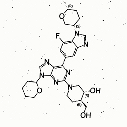 C[C@@H]1CC[C@H](n2cnc3cc(-c4nc(N5CC[C@H](CO)[C@@H](O)C5)nc5c4ncn5C4CCCCO4)cc(F)c32)CO1